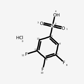 Cl.O=S(=O)(O)c1cc(F)c(F)c(F)c1